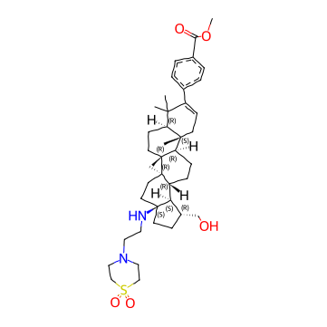 COC(=O)c1ccc(C2=CC[C@]3(C)[C@H]4CC[C@@H]5[C@H]6[C@H](CO)CC[C@]6(NCCN6CCS(=O)(=O)CC6)CC[C@@]5(C)[C@]4(C)CC[C@H]3C2(C)C)cc1